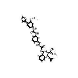 COc1cc(NC(=O)Nc2cccc(CNC(=O)O[C@H](CN(CC3CC3)C(C)C)c3ccccc3)c2)ccc1-c1cnco1